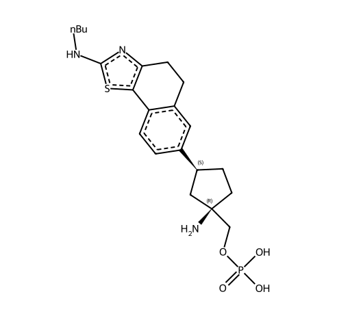 CCCCNc1nc2c(s1)-c1ccc([C@H]3CC[C@](N)(COP(=O)(O)O)C3)cc1CC2